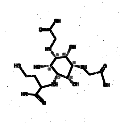 O=C(O)CN[C@@H]1[C@H](O)[C@H](NCC(=O)O)[C@H](O)[C@H](NC(CCO)C(=O)O)[C@@H]1O